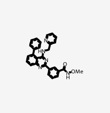 CONC(=O)c1cccc(-c2nc(NCc3ccccn3)c3c(-c4ccccc4)cccc3n2)c1